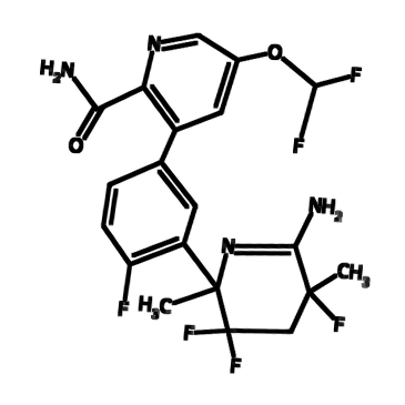 CC1(F)CC(F)(F)C(C)(c2cc(-c3cc(OC(F)F)cnc3C(N)=O)ccc2F)N=C1N